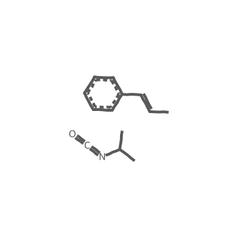 CC(C)N=C=O.CC=Cc1ccccc1